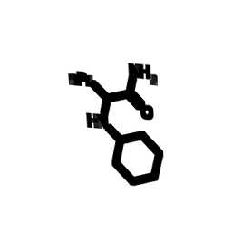 CCCC(NC1CCCCC1)C(N)=O